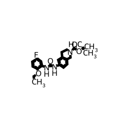 CCOc1ccc(F)cc1NC(=O)Nc1ccc2c(c1)CCN(C(=O)OC(C)(C)C)C2